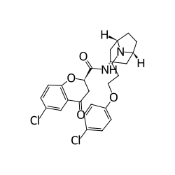 O=C1C[C@H](C(=O)N[C@H]2C[C@H]3CC[C@@H](C2)N3CCCOc2ccc(Cl)cc2)Oc2ccc(Cl)cc21